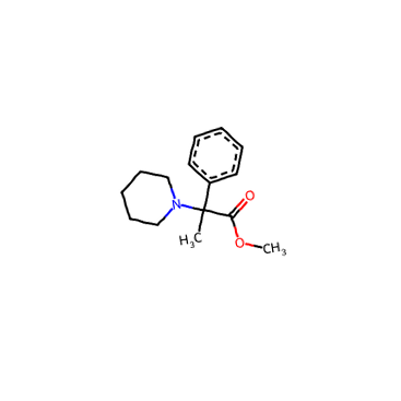 COC(=O)C(C)(c1ccccc1)N1CCCCC1